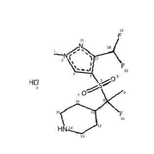 Cl.Cn1cc(S(=O)(=O)C(C)(F)C2CCNCC2)c(C(F)F)n1